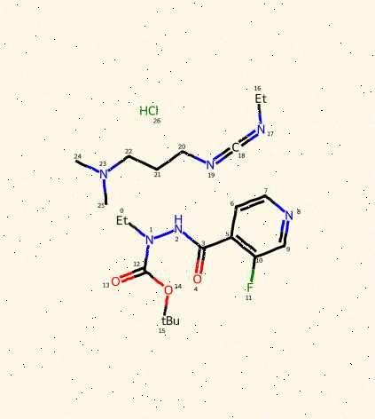 CCN(NC(=O)c1ccncc1F)C(=O)OC(C)(C)C.CCN=C=NCCCN(C)C.Cl